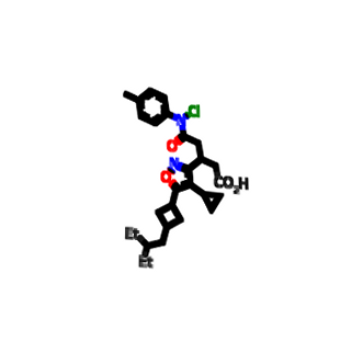 CCC(CC)CC1CC(c2onc(C(CC(=O)O)CC(=O)N(Cl)c3ccc(C)cc3)c2C2CC2)C1